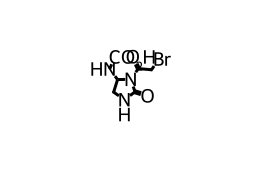 O=C(O)NC1CNC(=O)N1C(=O)CBr